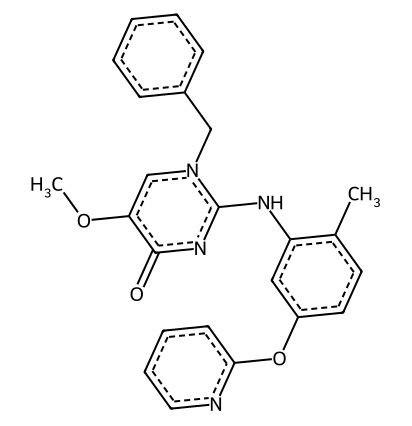 COc1cn(Cc2ccccc2)c(Nc2cc(Oc3ccccn3)ccc2C)nc1=O